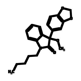 CCCCCN1C(=O)C(OC)(c2ccc3c(c2)OCO3)c2ccccc21